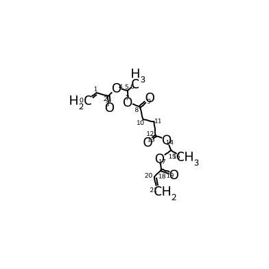 C=CC(=O)OC(C)OC(=O)CCC(=O)OC(C)OC(=O)C=C